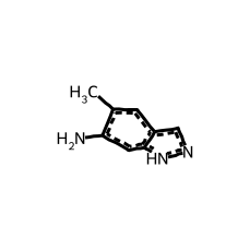 Cc1cc2cn[nH]c2cc1N